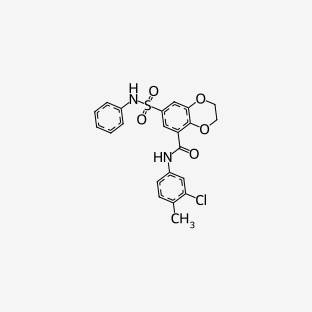 Cc1ccc(NC(=O)c2cc(S(=O)(=O)Nc3ccccc3)cc3c2OCCO3)cc1Cl